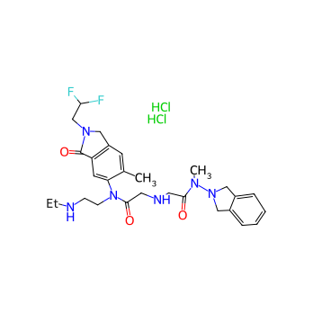 CCNCCN(C(=O)CNCC(=O)N(C)N1Cc2ccccc2C1)c1cc2c(cc1C)CN(CC(F)F)C2=O.Cl.Cl